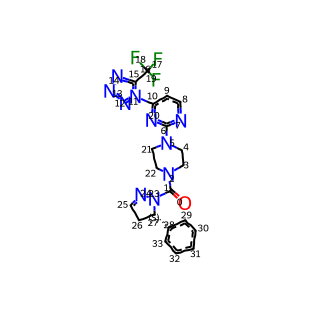 O=C(N1CCN(c2nccc(-n3nnnc3C(F)(F)F)n2)CC1)N1N=CC[C@H]1c1ccccc1